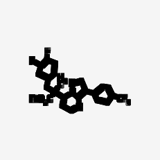 CCOC(=O)C(C)(Cc1ccc(F)c(F)c1)c1ccnc2c(-c3ccc(C(F)(F)F)cc3)cnn12